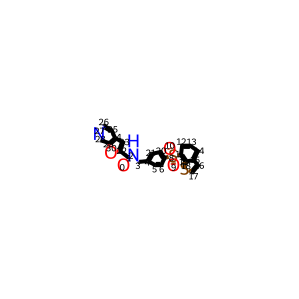 O=C(NCc1ccc(S(=O)(=O)c2cccc3ccsc23)cc1)c1cc2ccncc2o1